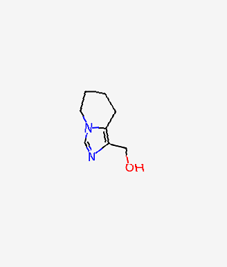 OCc1ncn2c1CCCC2